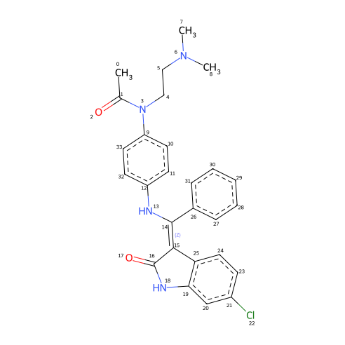 CC(=O)N(CCN(C)C)c1ccc(N/C(=C2\C(=O)Nc3cc(Cl)ccc32)c2ccccc2)cc1